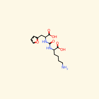 NCCCCC(NC(=O)NC(Cc1ccco1)C(=O)O)C(=O)O